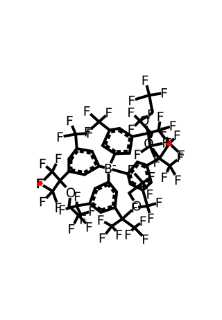 FC(F)(F)COC(c1cc([B-](c2cc(C(F)(F)F)cc(C(OCC(F)(F)F)(C(F)(F)F)C(F)(F)F)c2)(c2cc(C(F)(F)F)cc(C(OCC(F)(F)F)(C(F)(F)F)C(F)(F)F)c2)c2cc(C(F)(F)F)cc(C(OCC(F)(F)F)(C(F)(F)F)C(F)(F)F)c2)cc(C(F)(F)F)c1)(C(F)(F)F)C(F)(F)F